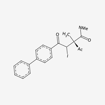 CNC(=O)[C@](C)(C(C)=O)C(I)C(=O)c1ccc(-c2ccccc2)cc1